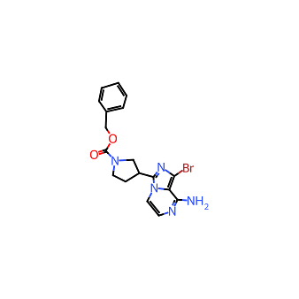 Nc1nccn2c(C3CCN(C(=O)OCc4ccccc4)C3)nc(Br)c12